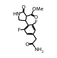 COC(=O)C1C(=O)NCC1c1c(F)cc(CC(N)=O)cc1F